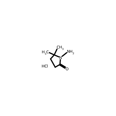 CC1(C)CCC(=O)N1N.Cl